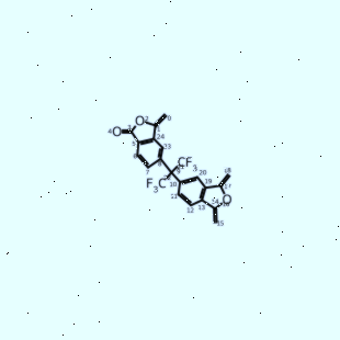 C=C1OC(=O)c2ccc(C(c3ccc4c(=C)oc(=C)c4c3)(C(F)(F)F)C(F)(F)F)cc21